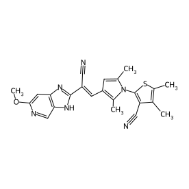 COc1cc2nc(C(C#N)=Cc3cc(C)n(-c4sc(C)c(C)c4C#N)c3C)[nH]c2cn1